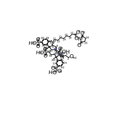 COCCN1/C(=C/C=C/C2=[N+](CCCCCCCC(=O)ON3C(=O)CCC3=O)c3ccc(S(=O)(=O)O)cc3C2(C)CCCS(=O)(=O)O)C(C)(CCCS(=O)(=O)O)c2cc(S(=O)(=O)O)ccc21